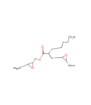 CCCCCC1OC1COC(=O)C(CCCCC(=O)O)CC1OC1CCCCC